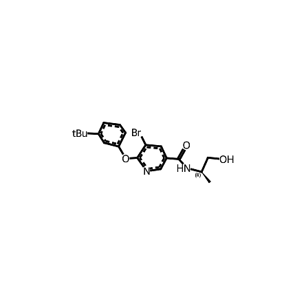 C[C@H](CO)NC(=O)c1cnc(Oc2cccc(C(C)(C)C)c2)c(Br)c1